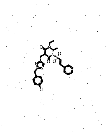 CCN(CC)C(=O)C(Cc1csc(Cc2ccc(Cl)cc2)n1)C(=O)NS(=O)(=O)C=Cc1ccccc1